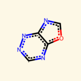 [c]1nnc2ncoc2n1